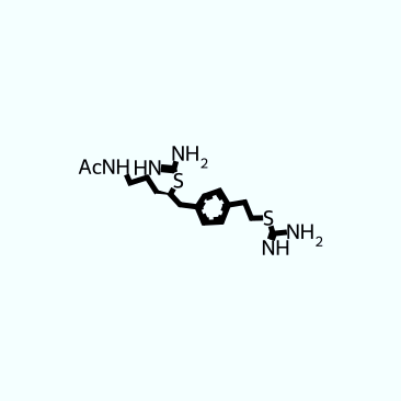 CC(=O)NCCC[C@H](Cc1ccc(CCSC(=N)N)cc1)SC(=N)N